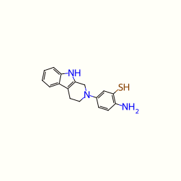 Nc1ccc(N2CCc3c([nH]c4ccccc34)C2)cc1S